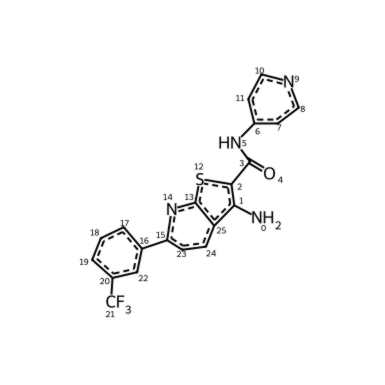 Nc1c(C(=O)Nc2ccncc2)sc2nc(-c3cccc(C(F)(F)F)c3)ccc12